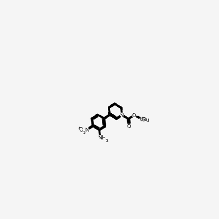 CC(C)(C)OC(=O)N1C=C(c2ccc([N+](=O)[O-])c(N)c2)CCC1